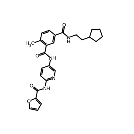 Cc1ccc(C(=O)NCCC2CCCC2)cc1C(=O)Nc1ccc(NC(=O)c2ccco2)nc1